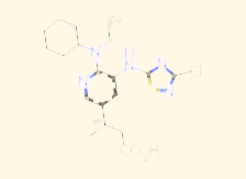 CC(C)CN(c1ncc([C@H](C)CC(=O)O)cc1Nc1nc(Cl)ns1)C1CCCCC1